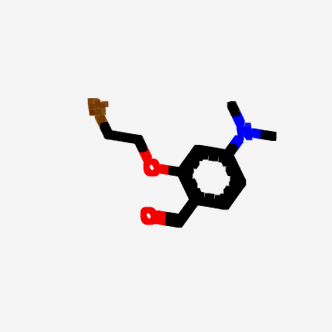 CN(C)c1ccc(C=O)c(OCCBr)c1